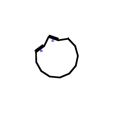 [CH]1/C=C/C=C/CCCCCCCC1